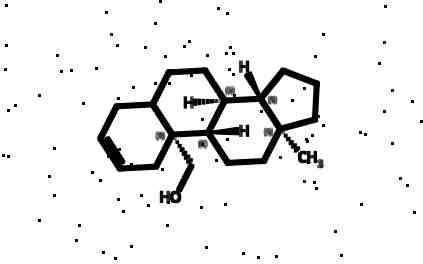 C[C@@]12CCC[C@H]1[C@@H]1CCC3CC=CC[C@]3(CO)[C@H]1CC2